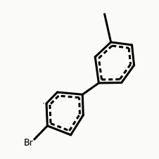 Cc1cccc(-c2c[c]c(Br)cc2)c1